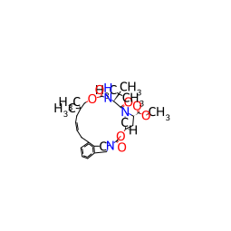 COC(=O)[C@@H]1C[C@@H]2CN1C(=O)[C@H](C(C)(C)C)NC(=O)OCC(C)(C)CC=CCc1cccc3c1CN(C3)C(=O)O2